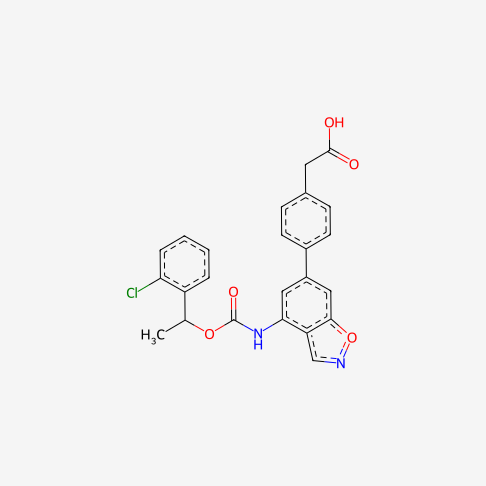 CC(OC(=O)Nc1cc(-c2ccc(CC(=O)O)cc2)cc2oncc12)c1ccccc1Cl